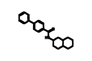 O=C(NC1CCC2CCCCC2C1)c1ccc(-c2ccccc2)cc1